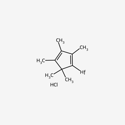 CC1=C(C)C(C)(C)[C]([Hf])=C1C.Cl